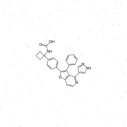 O=C(O)NC1(c2ccc(-c3oc4ccnc(-c5cn[nH]c5)c4c3-c3ccccc3)cc2)CCC1